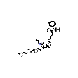 CC/C=C(\C)N(CCOCCOCCOC)CC(C)(C)SSCCCC(=O)NC1CCCCC1